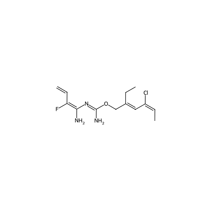 C=C/C(F)=C(N)\N=C(/N)OC/C(=C/C(Cl)=C\C)CC